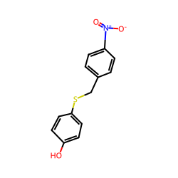 O=[N+]([O-])c1ccc(CSc2ccc(O)cc2)cc1